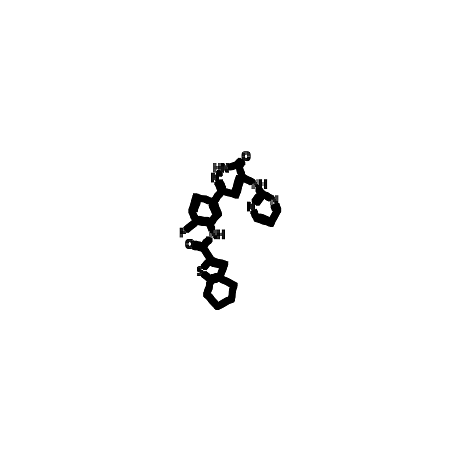 O=C(Nc1cc(-c2cc(Nc3ncccn3)c(=O)[nH]n2)ccc1F)c1cc2c(s1)CCCC2